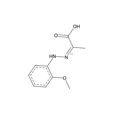 COc1ccccc1N/N=C(/C)C(=O)O